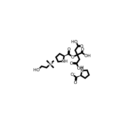 C[N+](C)(C)CCO.O=C(O)CC(CC(=O)O)(OC(=O)[C@@H]1CCCN1)C(=O)O.O=C([O-])[C@@H]1CCCN1